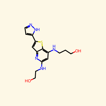 OCCCNc1cc(NCCO)nc2cc(-c3ccn[nH]3)sc12